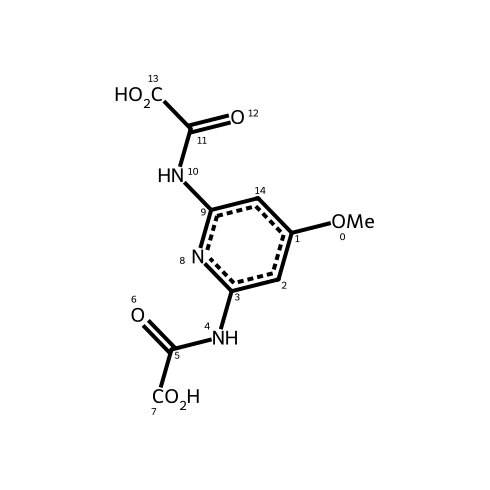 COc1cc(NC(=O)C(=O)O)nc(NC(=O)C(=O)O)c1